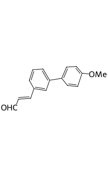 COc1ccc(-c2cccc(/C=C/C=O)c2)cc1